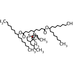 CCCCCCCC(CCCCCCC)OC(=O)CCCC(CCCC(=O)OC(CCCCCCC)CCCCCCC)N(CCC)C(=O)SCCC(CCCC)C(C)C